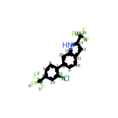 FC(F)(F)c1ccc(-c2ccc3cc(C(F)(F)F)[nH]c3c2)c(Cl)c1